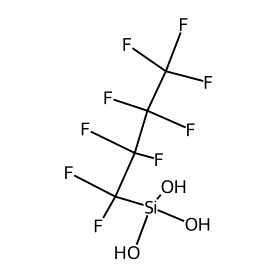 O[Si](O)(O)C(F)(F)C(F)(F)C(F)(F)C(F)(F)F